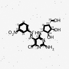 Nc1nc(Cl)c(/N=N/c2cccc([N+](=O)[O-])c2)c(N[C@@H]2C[C@H](CO)[C@@H](O)[C@H]2O)n1